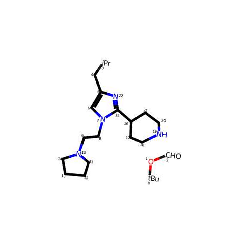 CC(C)(C)OC=O.CC(C)Cc1cn(CCN2CCCC2)c(C2CCNCC2)n1